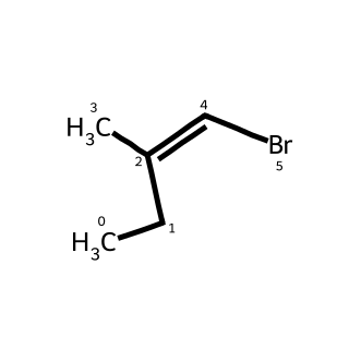 CC/C(C)=C\Br